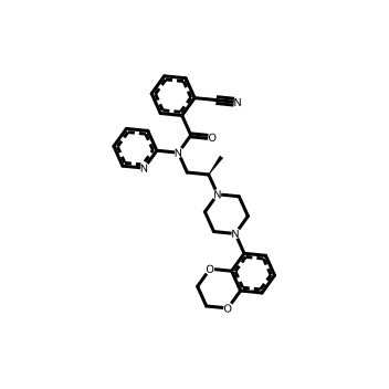 C[C@H](CN(C(=O)c1ccccc1C#N)c1ccccn1)N1CCN(c2cccc3c2OCCO3)CC1